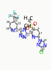 CCS(=O)(=O)c1ccc(-n2cnc(Cl)n2)nc1-c1nnc(-c2cc(C(F)(F)F)ccn2)n1C